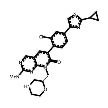 CNc1ncc2cc(-c3ccc(-c4csc(C5CC5)n4)cc3Cl)c(=O)n(C[C@H]3CNCCO3)c2n1